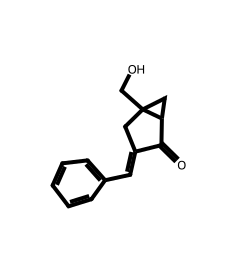 O=C1/C(=C/c2ccccc2)CC2(CO)CC12